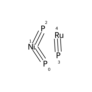 [P]#[Ni]#[P].[P]#[Ru]